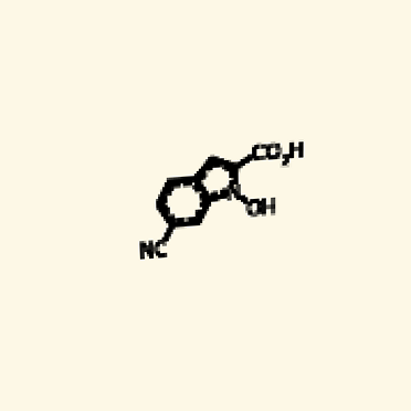 N#Cc1ccc2cc(C(=O)O)n(O)c2c1